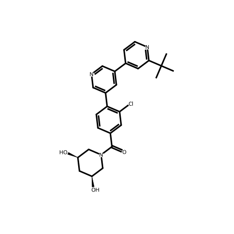 CC(C)(C)c1cc(-c2cncc(-c3ccc(C(=O)N4C[C@H](O)C[C@H](O)C4)cc3Cl)c2)ccn1